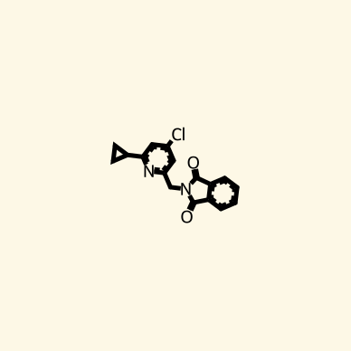 O=C1c2ccccc2C(=O)N1Cc1cc(Cl)cc(C2CC2)n1